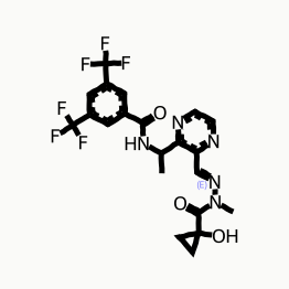 CC(NC(=O)c1cc(C(F)(F)F)cc(C(F)(F)F)c1)c1nccnc1/C=N/N(C)C(=O)C1(O)CC1